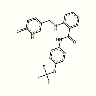 O=C(Nc1ccc(OC(F)(F)F)cc1)c1ccccc1NCc1ccc(=O)[nH]c1